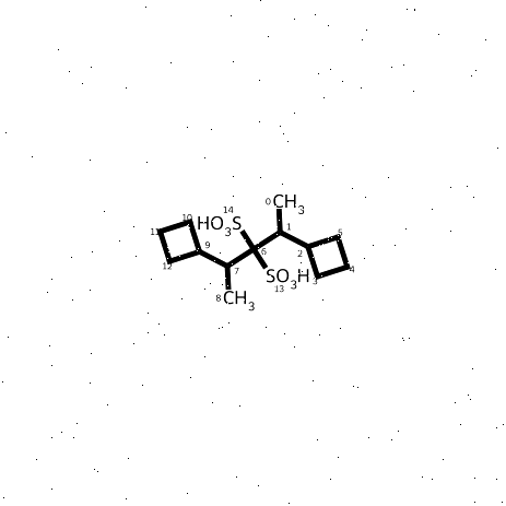 CC(C1CCC1)C(C(C)C1CCC1)(S(=O)(=O)O)S(=O)(=O)O